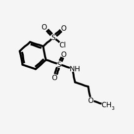 COCCNS(=O)(=O)c1ccccc1S(=O)(=O)Cl